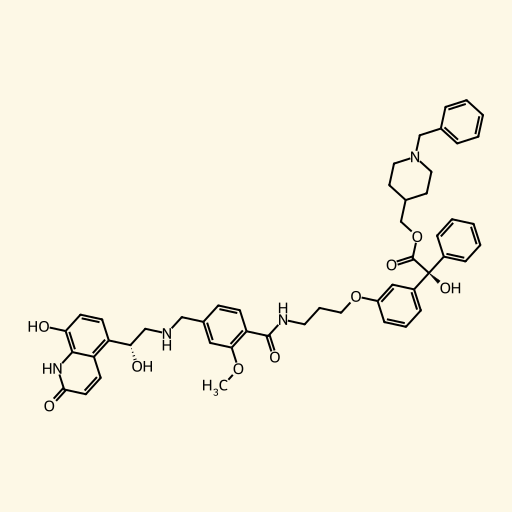 COc1cc(CNC[C@H](O)c2ccc(O)c3[nH]c(=O)ccc23)ccc1C(=O)NCCCOc1cccc([C@](O)(C(=O)OCC2CCN(Cc3ccccc3)CC2)c2ccccc2)c1